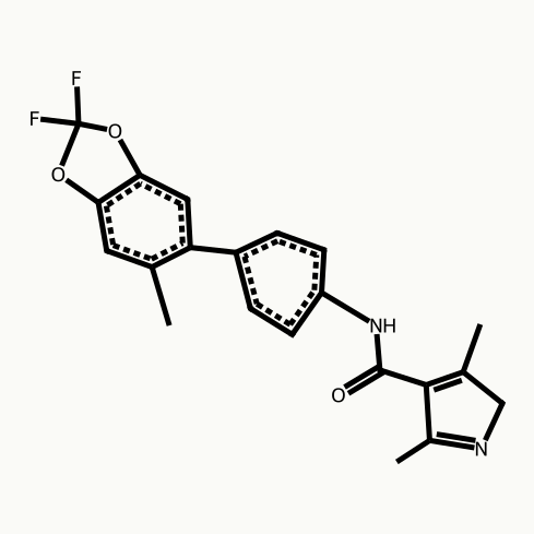 CC1=NCC(C)=C1C(=O)Nc1ccc(-c2cc3c(cc2C)OC(F)(F)O3)cc1